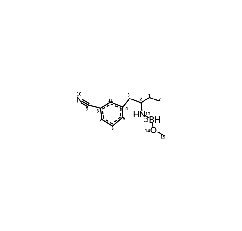 CCC(Cc1cccc(C#N)c1)NBOC